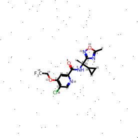 Cc1nc([C@@](C)(NC(=O)c2cc(OCC(F)(F)F)c(Cl)cn2)C2CC2)no1